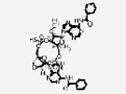 CO[C@H]1[C@H](n2cnc3c(NC(=O)c4ccccc4)ncnc32)O[C@]2(C)CO[P@](=O)(S)O[C@H]3[C@H]4OC[C@]3(CO[P@@](=O)(S)O[C@@H]12)O[C@H]4n1cnc2c(NC(=O)c3ccccc3)ncnc21